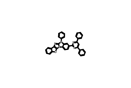 c1ccc(-c2cc(-c3ccccc3)nc(-c3ccc4c(c3)n(-c3ccccc3)c3nc5c6ccccc6oc5n43)n2)cc1